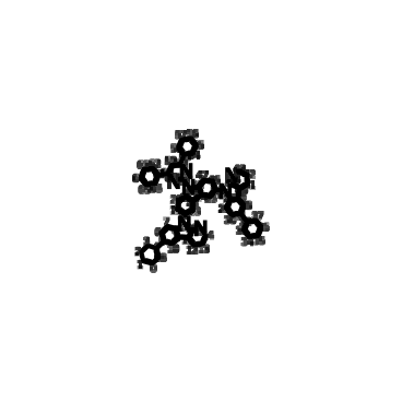 C1=CCCC(c2ccc3c(c2)c2cccnc2n3-c2ccc3c(c2)c2cc(-n4c5ccc(-c6ccccc6)cc5c5cccnc54)ccc2n3-c2nc(-c3ccccc3)cc(-c3ccccc3)n2)=C1